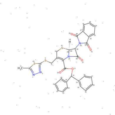 Cc1nnc(SCC2=C(C(=O)OC(c3ccccc3)c3ccccc3)N3C(=O)C(N4C(=O)c5ccccc5C4=O)[C@@H]3SC2)s1